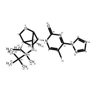 CC[C@@]12COC([C@H](n3cc(I)c(-n4cncn4)nc3=O)O1)[C@H]2O[Si](C)(C)C(C)(C)C